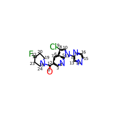 O=C(c1cnc2c(c1)c(Cl)cn2-c1cnccn1)N1CCC(F)CC1